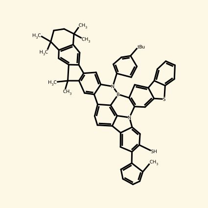 Cc1ccccc1-c1cc2c3ccc4c5c3n(c2cc1S)-c1cc2sc3ccccc3c2cc1B5N(c1ccc(C(C)(C)C)cc1)c1cc2c(cc1-4)C(C)(C)c1cc3c(cc1-2)C(C)(C)CCC3(C)C